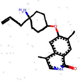 C=CCC1(N)CCC(Oc2cc3c(C)c[nH]c(=O)c3cc2C)CC1